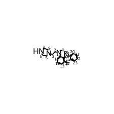 CN(CCN1CCNCC1)c1cccc(F)c1N(C)c1ccccc1